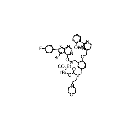 CCOC(=O)[C@@H](Cc1cc(CN(CCN2CCOCC2)C(=O)OC(C)(C)C)ccc1OCc1ccnc(-c2ccccc2OC)n1)Oc1ncnc2sc(-c3ccc(F)cc3)c(Br)c12